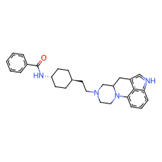 O=C(N[C@H]1CC[C@H](CCN2CCN3c4cccc5[nH]cc(c45)CC3C2)CC1)c1ccccc1